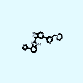 c1cc(-c2ccsc2)c2nc(-c3n[nH]c4cnc(-c5cncc(CN6CCCCC6)c5)cc34)[nH]c2c1